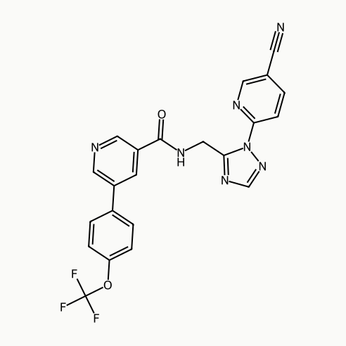 N#Cc1ccc(-n2ncnc2CNC(=O)c2cncc(-c3ccc(OC(F)(F)F)cc3)c2)nc1